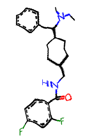 CN(C)C(c1ccccc1)C1CCC(CNC(=O)c2ccc(F)cc2F)CC1